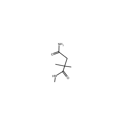 CNC(=O)C(C)(C)CC(N)=O